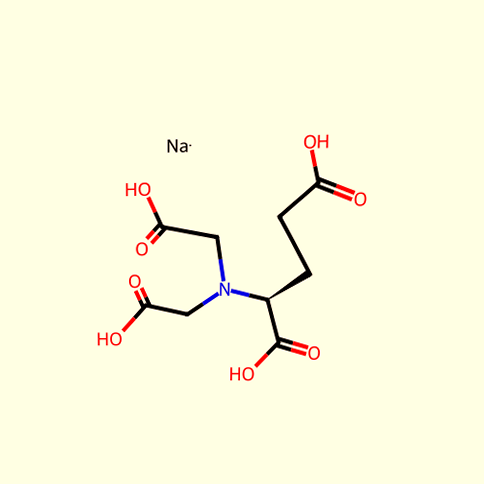 O=C(O)CC[C@@H](C(=O)O)N(CC(=O)O)CC(=O)O.[Na]